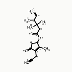 C#CCC1=C(C)C(OC(=O)CC(C)(C)C(C)C=C)CC1=O